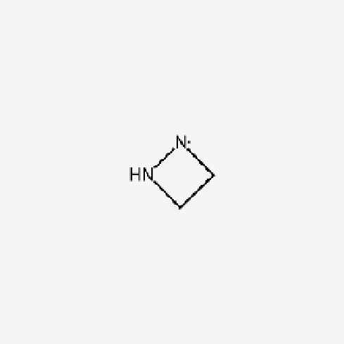 C1CN[N]1